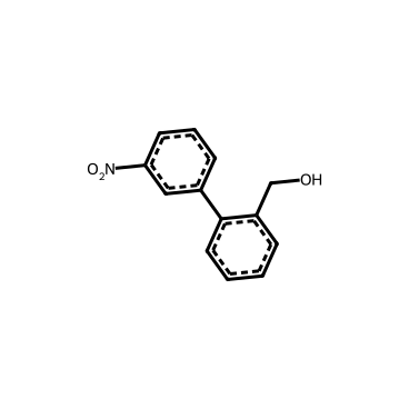 O=[N+]([O-])c1cccc(-c2ccccc2CO)c1